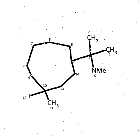 CNC(C)(C)C1CCCCCC(C)(I)CC1